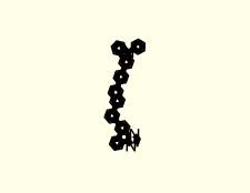 c1ccc(-n2c3ccccc3c3cc(-c4ccc(-c5ccc6cc(-c7cccc(-c8ccc9c(c8)c8ccccc8c8nccnc98)c7)ccc6c5)cc4)ccc32)cc1